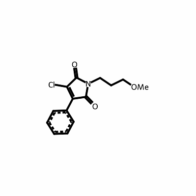 COCCCN1C(=O)C(Cl)=C(c2ccccc2)C1=O